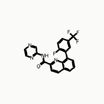 O=C(Nc1cnccn1)c1ccc2cccc(-c3cc(C(F)(F)F)ccc3F)c2n1